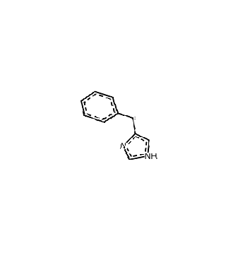 [C](c1ccccc1)c1c[nH]cn1